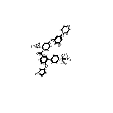 CC(C)(C)[C@H]1CC[C@H](c2cc(C(=O)N3CCC(Oc4cc(F)cc(N5CCNCC5)c4)CC3)ccc2O[C@H]2CCNC2)CC1.Cl.Cl